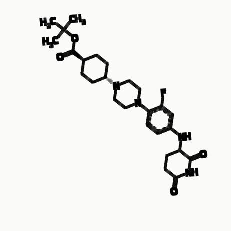 CC(C)(C)OC(=O)[C@H]1CC[C@H](N2CCN(c3ccc(NC4CCC(=O)NC4=O)cc3F)CC2)CC1